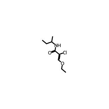 CCOC=C(Cl)C(=O)NC(C)CC